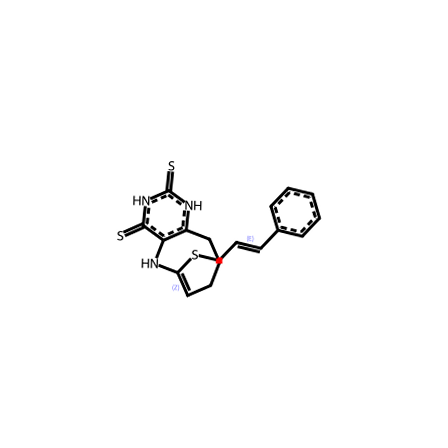 S=c1[nH]c2c(c(=S)[nH]1)N/C(SC/C=C/c1ccccc1)=C/CCC2